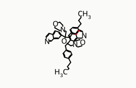 CCCCc1ccc(CC(CN2CCOCC2)(OC(Cc2ccc(CCCC)cc2)(CN2CCOCC2)c2ccc3ccncc3c2)c2ccc3ccncc3c2)cc1